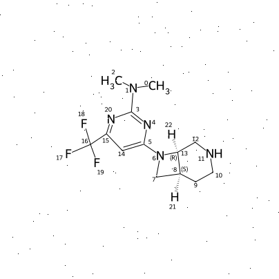 CN(C)c1nc(N2C[C@@H]3CCNC[C@@H]32)cc(C(F)(F)F)n1